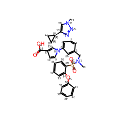 CN(Cc1cccc(-n2ccc(C(=O)O)c2[C@@H]2C[C@H]2c2cn(C)nn2)c1)S(=O)(=O)c1ccccc1Oc1ccccc1